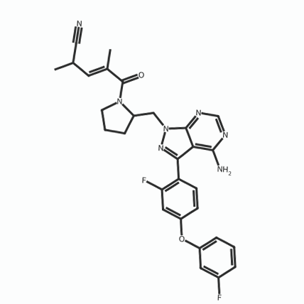 CC(=CC(C)C#N)C(=O)N1CCCC1Cn1nc(-c2ccc(Oc3cccc(F)c3)cc2F)c2c(N)ncnc21